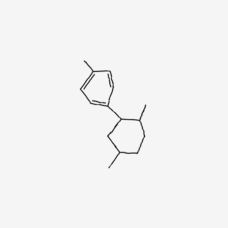 Cc1ccc(C2CC(C)CCC2C)cc1